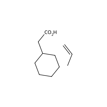 C=CC.O=C(O)CC1CCCCC1